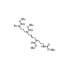 CC(C)N(CCCN(C/C=C/CN(CCCNC(=O)OC(C)(C)C)C(=O)OC(C)(C)C)C(=O)OC(C)(C)C)C(=O)OC(C)(C)C